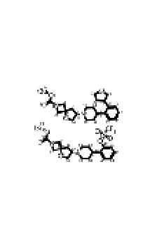 CC(C)(C)OC(=O)N1CC2(C[C@H](N3CCC(c4ccccc4C4=CCOC4)CC3)CO2)C1.CC(C)(C)OC(=O)N1CC2(C[C@H](N3CCC(c4ccccc4OS(=O)(=O)C(F)(F)F)CC3)CO2)C1